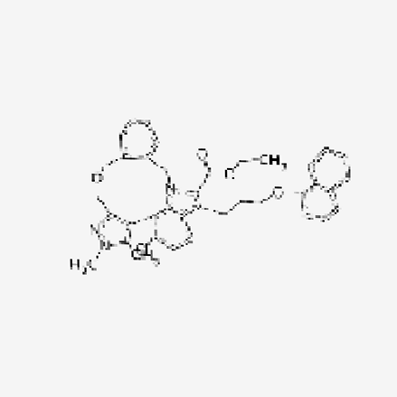 CCOC(=O)c1c(CCCOc2cccc3ccccc23)c2ccc(Cl)c3c2n1Cc1ccccc1COCc1nn(C)c(C)c1-3